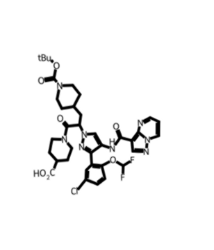 CC(C)(C)OC(=O)N1CCC(CC(C(=O)N2CCC(C(=O)O)CC2)n2cc(NC(=O)c3cnn4cccnc34)c(-c3cc(Cl)ccc3OC(F)F)n2)CC1